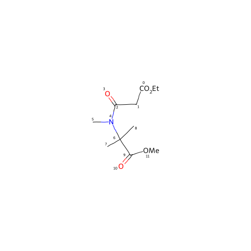 CCOC(=O)CC(=O)N(C)C(C)(C)C(=O)OC